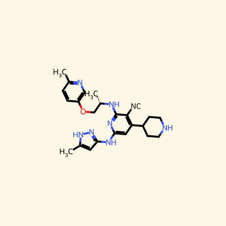 [C-]#[N+]c1c(C2CCNCC2)cc(Nc2cc(C)[nH]n2)nc1N[C@@H](C)COc1ccc(C)nc1